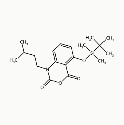 CC(C)CCn1c(=O)oc(=O)c2c(O[Si](C)(C)C(C)(C)C)cccc21